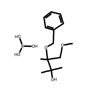 COCC(C)(OCc1ccccc1)C(C)(C)O.OB(O)O